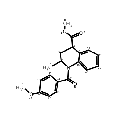 COC(=O)C1CC(C)N(C(=O)c2ccc(OC)cc2)c2ccccc21